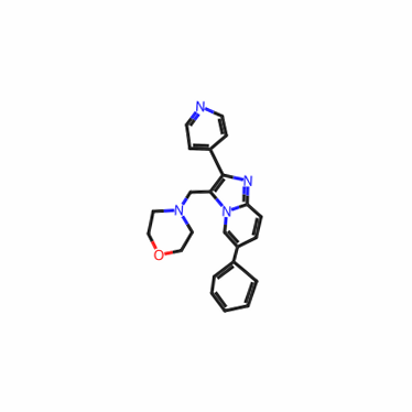 c1ccc(-c2ccc3nc(-c4ccncc4)c(CN4CCOCC4)n3c2)cc1